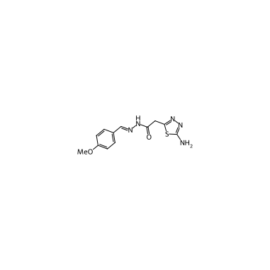 COc1ccc(/C=N/NC(=O)Cc2nnc(N)s2)cc1